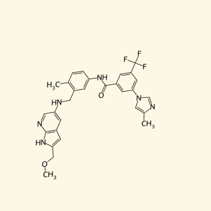 COCc1cc2cc(NCc3cc(NC(=O)c4cc(-n5cnc(C)c5)cc(C(F)(F)F)c4)ccc3C)cnc2[nH]1